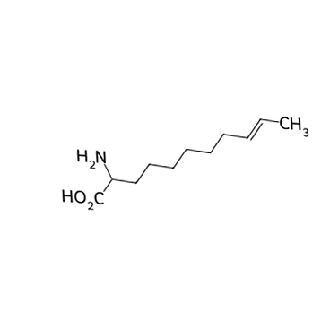 CC=CCCCCCCC(N)C(=O)O